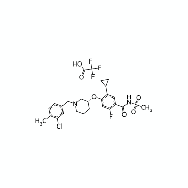 Cc1ccc(CN2CCC[C@@H](Oc3cc(F)c(C(=O)NS(C)(=O)=O)cc3C3CC3)C2)cc1Cl.O=C(O)C(F)(F)F